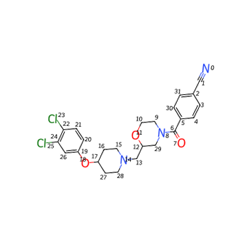 N#Cc1ccc(C(=O)N2CCOC(CN3CCC(Oc4ccc(Cl)c(Cl)c4)CC3)C2)cc1